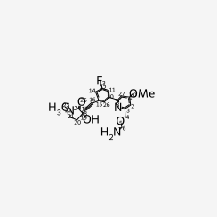 COc1cc(COCN)nc(-c2cc(F)cc(C#C[C@]3(O)CCN(C)C3=O)c2)c1